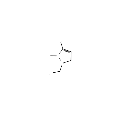 CCN1CC=C(C)N1C